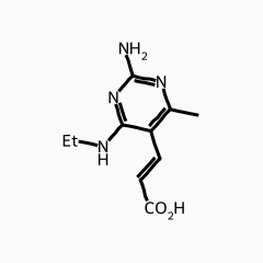 CCNc1nc(N)nc(C)c1C=CC(=O)O